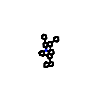 c1ccc(-c2ccc(N(c3ccccc3-c3cccc(-c4ccccc4)c3)c3ccccc3-c3cccc(-c4cccc5ccccc45)c3)cc2)cc1